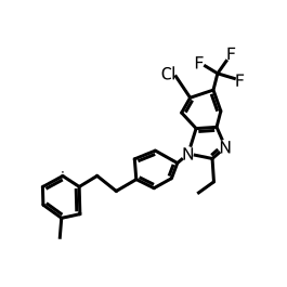 CCc1nc2cc(C(F)(F)F)c(Cl)cc2n1-c1ccc(CCc2[c]ccc(C)c2)cc1